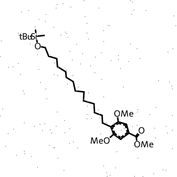 COC(=O)c1cc(OC)c(CCCCCCCCCCCCCCO[Si](C)(C)C(C)(C)C)c(OC)c1